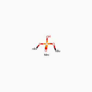 CCCCOP(=O)(O)OCCCC.[Mn]